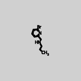 CCCNCc1cccc(Br)n1